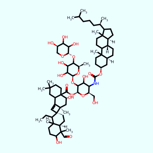 CCC1C2(C)CCC(O)C(C)(C=O)[C@@H]2CC[C@@]12C=C1C3CC(C)(C)CCC3(C(=O)O[C@@H]3O[C@H](CO)C(NC(=O)O[C@H]4CCC5(C)C6CCC7(C)C([C@H](C)CCCC(C)C)CC[C@H]7[C@@H]6CC[C@H]5C4)C(O)C3O[C@@H]3O[C@H](C)C(O[C@@H]4OC[C@@H](O)C(O)C4O)C(O)C3O)[C@H](O)C[C@]12C